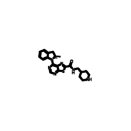 C[C@@H]1Cc2ccccc2N1c1ncnc2sc(C(=O)NCC3CCNCC3)nc12